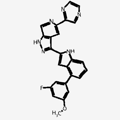 COc1cc(F)cc(-c2cccc3[nH]c(-c4n[nH]c5cnc(-c6cnccn6)cc45)cc23)c1